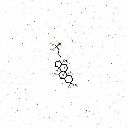 C[C@H]1C=C2C[C@@](C)(O)CC[C@]2(C)[C@H]2CC[C@]3(C)[C@@H](CCC[C@](C)(O)C(F)(F)F)CC[C@H]3[C@H]12